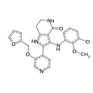 COc1c(Cl)cccc1Nc1c(-c2ccncc2OCc2ccco2)[nH]c2c1C(=O)NCC2